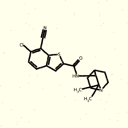 CC1(C)C(NC(=O)c2cc3ccc(Cl)c(C#N)c3s2)C2CCN1CC2